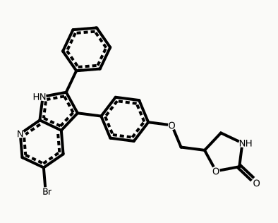 O=C1NCC(COc2ccc(-c3c(-c4ccccc4)[nH]c4ncc(Br)cc34)cc2)O1